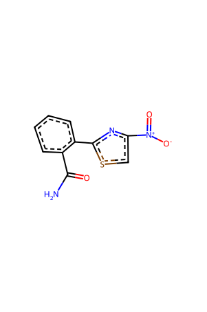 NC(=O)c1ccccc1-c1nc([N+](=O)[O-])cs1